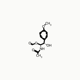 COc1ccc([C@H](O)[C@H](NC(C)=O)OC=O)cc1